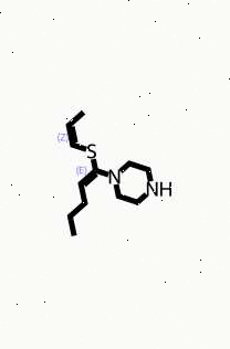 C/C=C\S/C(=C/CCC)N1CCNCC1